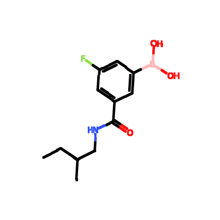 CCC(C)CNC(=O)c1cc(F)cc(B(O)O)c1